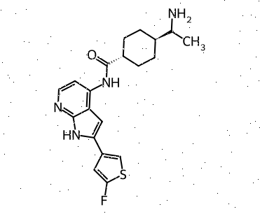 CC(N)[C@H]1CC[C@H](C(=O)Nc2ccnc3[nH]c(-c4csc(F)c4)cc23)CC1